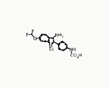 CCn1c(-c2ccc(NC(=O)O)cc2)c(N)c2ccc(OC(F)F)cc21